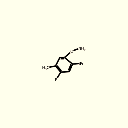 Cc1cc(ON)c(C(C)C)cc1F